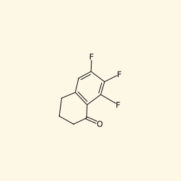 O=C1CCCc2cc(F)c(F)c(F)c21